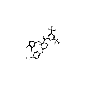 Cc1ccc(C[C@@H]2CN(Cc3ccc(N)cc3)CCN2C(=O)c2cc(C(F)(F)F)cc(C(F)(F)F)c2)cc1C